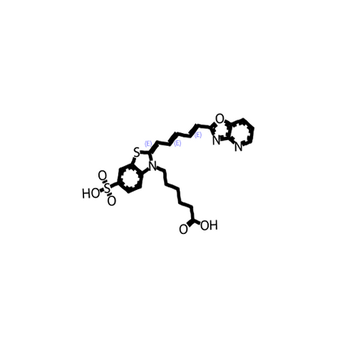 O=C(O)CCCCCN1\C(=C/C=C/C=C/c2nc3ncccc3o2)Sc2cc(S(=O)(=O)O)ccc21